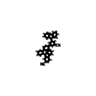 N#Cc1cc(-c2ccc(-c3ccccc3-n3c4ccccc4c4ccc(C#N)cc43)cc2)cc(-n2c3ccccc3c3ccccc32)c1